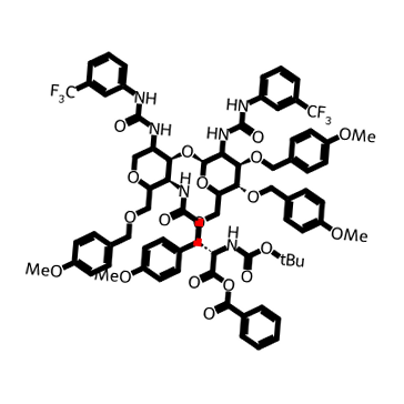 COc1ccc(COCC2O[C@@H](O[C@@H]3C(NC(=O)Nc4cccc(C(F)(F)F)c4)COC(COCc4ccc(OC)cc4)[C@@H]3NC(=O)CC[C@H](NC(=O)OC(C)(C)C)C(=O)OC(=O)c3ccccc3)C(NC(=O)Nc3cccc(C(F)(F)F)c3)[C@@H](OCc3ccc(OC)cc3)[C@@H]2OCc2ccc(OC)cc2)cc1